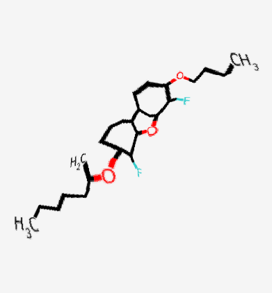 C=C(CCCCC)OC1CCC2C3CCC(OCCCC)C(F)C3OC2C1F